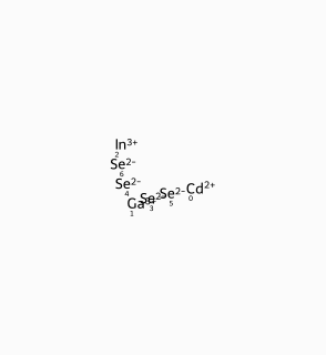 [Cd+2].[Ga+3].[In+3].[Se-2].[Se-2].[Se-2].[Se-2]